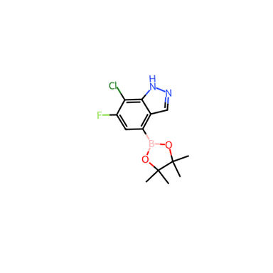 CC1(C)OB(c2cc(F)c(Cl)c3[nH]ncc23)OC1(C)C